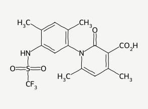 Cc1cc(C)c(-n2c(C)cc(C)c(C(=O)O)c2=O)cc1NS(=O)(=O)C(F)(F)F